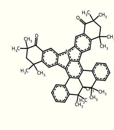 CC1(C)CC(C)(C)c2cc3c4c5c6c(c7c8cc9c(cc8n(c3cc2C1=O)c47)C(=O)C(C)(C)CC9(C)C)-c1ccccc1C(C)(C)C6(C)C(C)(C)c1ccccc1-5